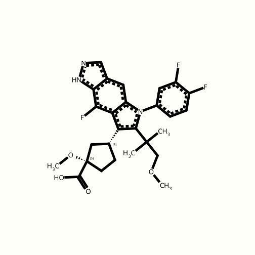 COCC(C)(C)c1c([C@@H]2CC[C@@](OC)(C(=O)O)C2)c2c(F)c3[nH]ncc3cc2n1-c1ccc(F)c(F)c1